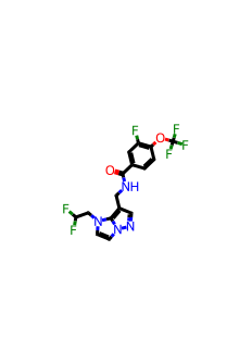 O=C(NCc1cnn2ccn(CC(F)F)c12)c1ccc(OC(F)(F)F)c(F)c1